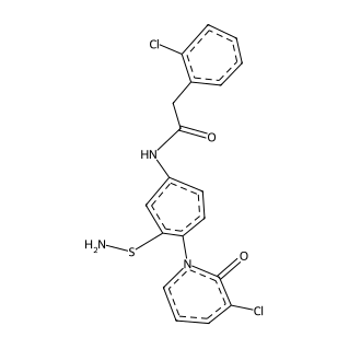 NSc1cc(NC(=O)Cc2ccccc2Cl)ccc1-n1cccc(Cl)c1=O